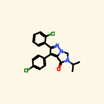 CC(C)N1Cn2nc(-c3ccccc3Cl)c(-c3ccc(Cl)cc3)c2C1=O